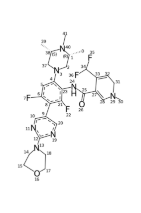 C[C@@H]1CN(c2cc(F)c(-c3cnc(N4CCOCC4)nc3)c(F)c2NC(=O)C2=CN(C)CC=C2C(F)F)C[C@H](C)N1C